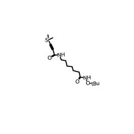 CC(C)(C)ONC(=O)CCCCCCNC(=O)C#C[Si](C)(C)C